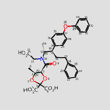 C[C@@H]1OC(C(=O)O)(C(=O)O)O[C@@H]1C(=O)N(CC(=O)O)[C@H](C)[C@H](CCc1ccccc1)c1ccc(Oc2ccccc2)cc1